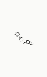 Cc1ncc(C)c(N2CCC(Oc3ccc4cocc4c3)CC2)n1